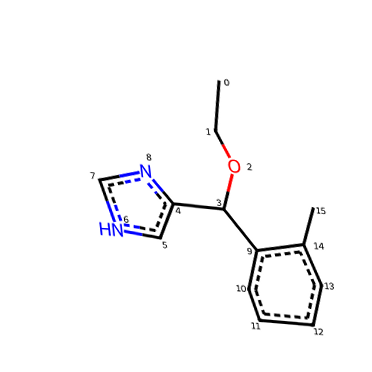 CCOC(c1c[nH]cn1)c1ccccc1C